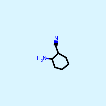 N#CC1CCCCC1N